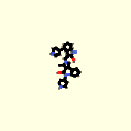 Cc1c(C(=O)Nc2ccncc2)c(-c2ccccc2)cn1C=C1C(=O)Nc2cccc(-c3ccncc3)c21